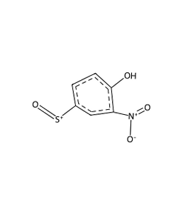 O=[S+]c1ccc(O)c([N+](=O)[O-])c1